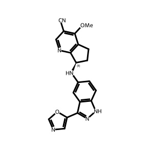 COc1c(C#N)cnc2c1CC[C@H]2Nc1ccc2[nH]nc(-c3cnco3)c2c1